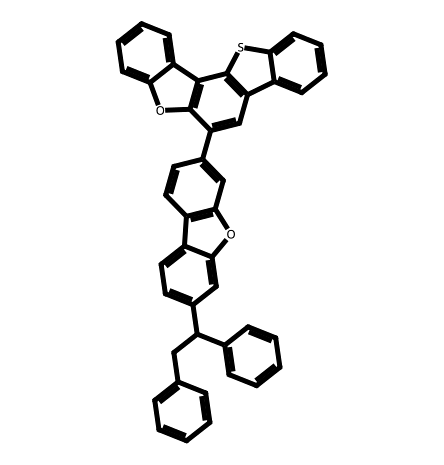 c1ccc(CC(c2ccccc2)c2ccc3c(c2)oc2cc(-c4cc5c6ccccc6sc5c5c4oc4ccccc45)ccc23)cc1